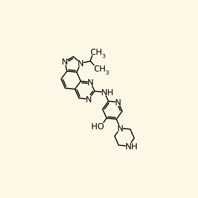 CC(C)n1cnc2ccc3cnc(Nc4cc(O)c(N5CCNCC5)cn4)nc3c21